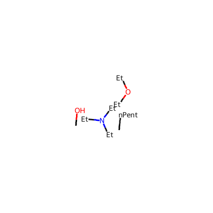 CCCCCC.CCN(CC)CC.CCOCC.CO